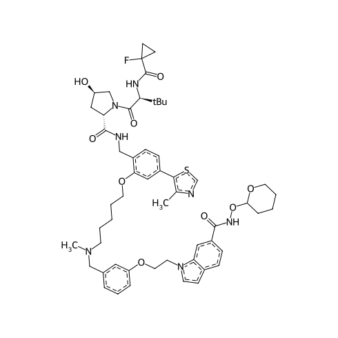 Cc1ncsc1-c1ccc(CNC(=O)[C@@H]2C[C@@H](O)CN2C(=O)[C@@H](NC(=O)C2(F)CC2)C(C)(C)C)c(OCCCCCN(C)Cc2cccc(OCCn3ccc4ccc(C(=O)NOC5CCCCO5)cc43)c2)c1